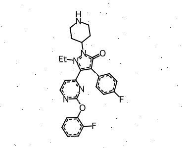 CCn1c(-c2ccnc(Oc3ccccc3F)n2)c(-c2ccc(F)cc2)c(=O)n1C1CCNCC1